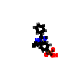 O=S(=O)(O)c1ccc2[nH]c(-c3ccccc3)nc2c1.[KH].[NaH]